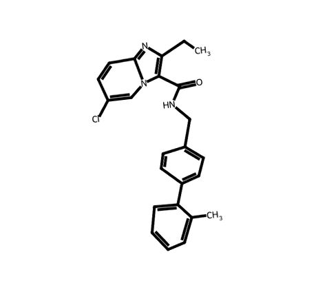 CCc1nc2ccc(Cl)cn2c1C(=O)NCc1ccc(-c2ccccc2C)cc1